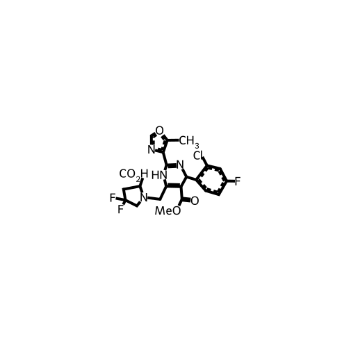 COC(=O)C1=C(CN2CC(F)(F)CC2C(=O)O)NC(c2ncoc2C)=NC1c1ccc(F)cc1Cl